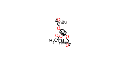 C=C(C)C(=O)OC12CC3CC(OCCC4(CCCC)CCO4)(CC(OCCC4(CCCC)CCO4)(C3)C1)C2